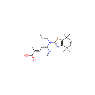 C=N/C(=C\C=C(/C)C(=O)O)N(CCC)c1nc2c(s1)C(C)(C)C=CC2(C)C